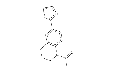 CC(=O)N1CCCc2cc(-c3ccco3)ccc21